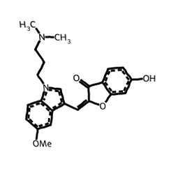 COc1ccc2c(c1)c(C=C1Oc3cc(O)ccc3C1=O)cn2CCCN(C)C